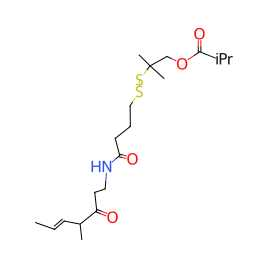 CC=CC(C)C(=O)CCNC(=O)CCCSSC(C)(C)COC(=O)C(C)C